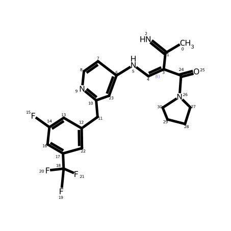 CC(=N)/C(=C\Nc1ccnc(Cc2cc(F)cc(C(F)(F)F)c2)c1)C(=O)N1CCCC1